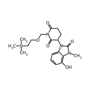 Cn1c(=O)n(C2CCC(=O)N(COCC[Si](C)(C)C)C2=O)c2cccc(O)c21